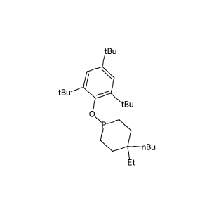 CCCCC1(CC)CCP(Oc2c(C(C)(C)C)cc(C(C)(C)C)cc2C(C)(C)C)CC1